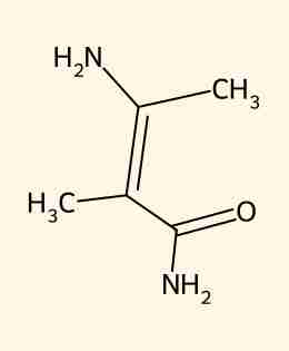 C/C(N)=C(/C)C(N)=O